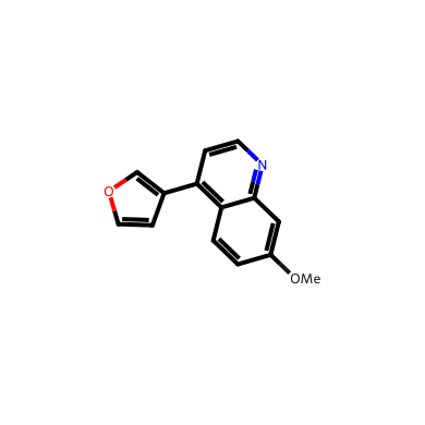 COc1ccc2c(-c3ccoc3)ccnc2c1